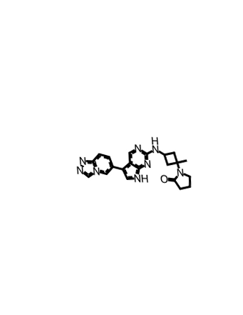 CC1(N2CCCC2=O)CC(Nc2ncc3c(-c4ccc5nncn5c4)c[nH]c3n2)C1